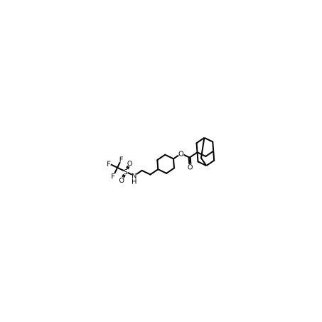 O=C(OC1CCC(CCNS(=O)(=O)C(F)(F)F)CC1)C12CC3CC(CC(C3)C1)C2